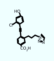 O=C(O)c1ccc(C#Cc2ccc(O)cc2Cl)c(CCCn2ccnn2)c1